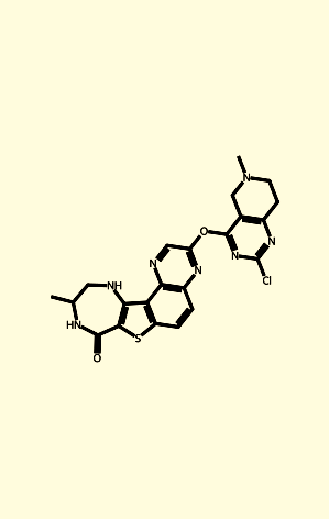 CC1CNc2c(sc3ccc4nc(Oc5nc(Cl)nc6c5CN(C)CC6)cnc4c23)C(=O)N1